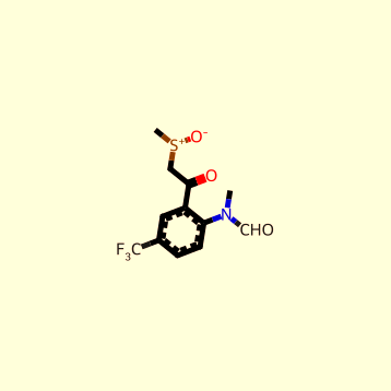 CN(C=O)c1ccc(C(F)(F)F)cc1C(=O)C[S+](C)[O-]